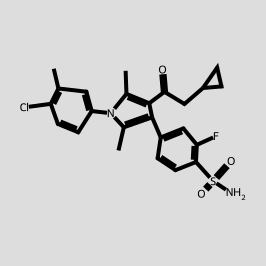 Cc1cc(-n2c(C)c(C(=O)CC3CC3)c(-c3ccc(S(N)(=O)=O)c(F)c3)c2C)ccc1Cl